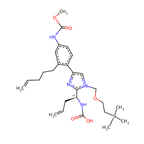 C=CCCCc1cc(NC(=O)OC)ccc1-c1cn(COCC[Si](C)(C)C)c([C@H](CC=C)NC(=O)O)n1